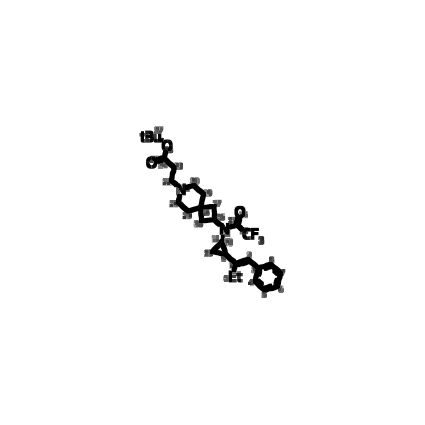 CCC(=Cc1ccccc1)C1C[C@@H]1N(C(=O)C(F)(F)F)C1CC2(CCN(CCC(=O)OC(C)(C)C)CC2)C1